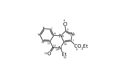 CCOC(=O)c1nc(Cl)n2c3ccccc3c(=O)n(CC)c12